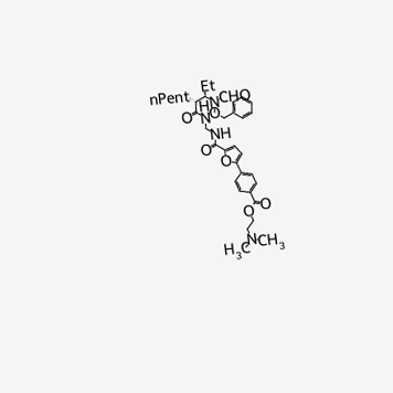 CCCCC[C@@H](C(=O)NCNC(=O)c1ccc(-c2ccc(C(=O)OCCN(C)C)cc2)o1)[C@@H](CC)N(C=O)OCc1ccccc1